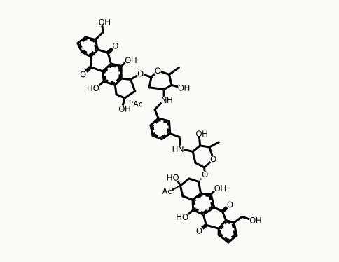 CC(=O)[C@]1(O)Cc2c(O)c3c(c(O)c2C(OC2CC(NCc4cccc(CNC5CC(O[C@H]6C[C@](O)(C(C)=O)Cc7c(O)c8c(c(O)c76)C(=O)c6c(CO)cccc6C8=O)OC(C)C5O)c4)C(O)C(C)O2)C1)C(=O)c1c(CO)cccc1C3=O